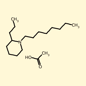 CC(=O)O.CCCCCCCCN1CCCCC1CCC